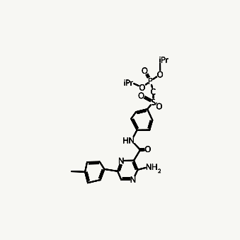 Cc1ccc(-c2cnc(N)c(C(=O)Nc3ccc(S(=O)(=O)CP(=O)(OC(C)C)OC(C)C)cc3)n2)cc1